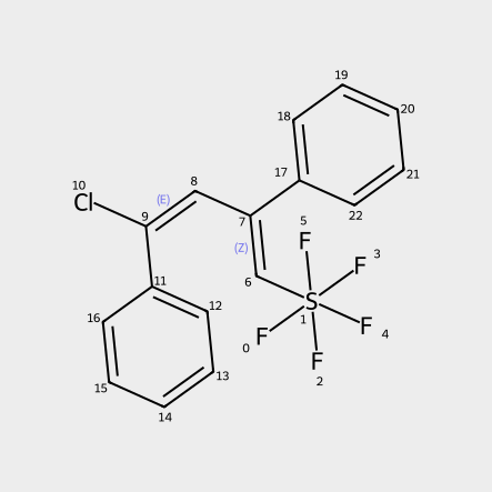 FS(F)(F)(F)(F)/C=C(/C=C(/Cl)c1ccccc1)c1ccccc1